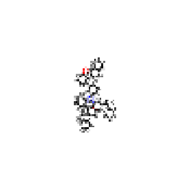 CC1(C)c2ccccc2-c2ccc(N(c3cccc(-c4cccc5oc6c7ccccc7ccc6c45)c3)c3ccccc3-c3cccc4c3C(C)(C)c3ccccc3-4)cc21